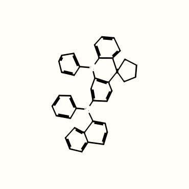 c1ccc(N2c3ccccc3C3(CCCC3)c3ccc(N(c4ccccc4)c4cccc5ccccc45)cc32)cc1